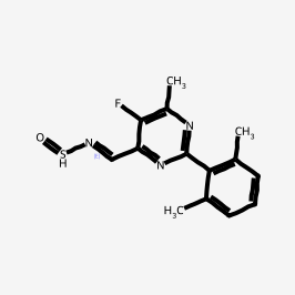 Cc1cccc(C)c1-c1nc(C)c(F)c(/C=N/[SH]=O)n1